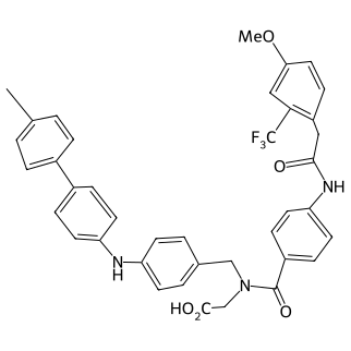 COc1ccc(CC(=O)Nc2ccc(C(=O)N(CC(=O)O)Cc3ccc(Nc4ccc(-c5ccc(C)cc5)cc4)cc3)cc2)c(C(F)(F)F)c1